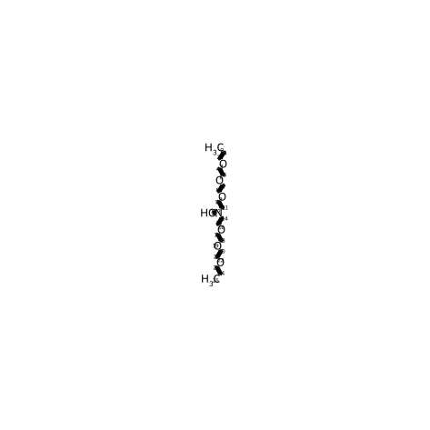 CCCOCCOCCOCCN(O)CCOCCOCCOCCC